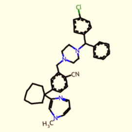 CN1C=CC=NC(C2(c3ccc(C#N)c(CN4CCN(C(c5ccccc5)c5ccc(Cl)cc5)CC4)c3)CCCCCC2)=C1